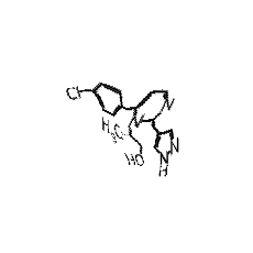 C[C@@H](CO)N1C(c2ccc(Cl)cc2)=CC=NC1c1cn[nH]c1